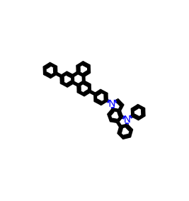 c1ccc(-c2ccc3c4ccc(-c5ccc(-n6ccc7c6ccc6c8ccccc8n(-c8ccccc8)c67)cc5)cc4c4ccccc4c3c2)cc1